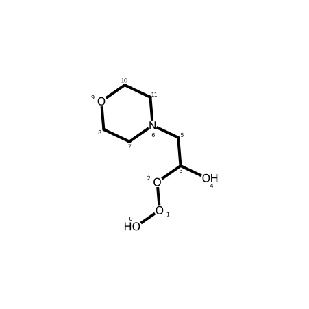 OOOC(O)CN1CCOCC1